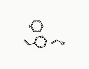 C=Cc1ccccc1.C=[CH][Zn].c1ccncc1